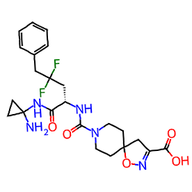 NC1(NC(=O)[C@H](CC(F)(F)Cc2ccccc2)NC(=O)N2CCC3(CC2)CC(C(=O)O)=NO3)CC1